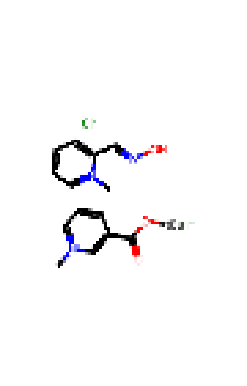 C[n+]1cccc(C(=O)OC(C)(C)C)c1.C[n+]1ccccc1C=NO.[Cl-].[Cl-]